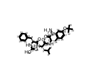 CC(C)C[C@H](NC(=O)[C@H](Cc1ccccc1)NC(=O)O)C(=O)N[C@@H](Cc1ccc(OC(C)(C)C)cc1)C(=O)NN